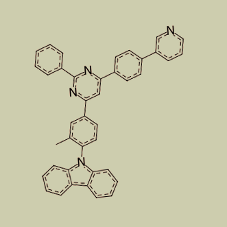 Cc1cc(-c2cc(-c3ccc(-c4cccnc4)cc3)nc(-c3ccccc3)n2)ccc1-n1c2ccccc2c2ccccc21